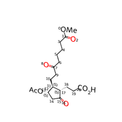 COC(=O)CCCCC(=O)CC[C@@H]1[C@@H](OC(C)=O)CC(=O)[C@H]1CCC(=O)O